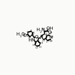 COc1cccc(C(=O)Nc2ccccc2CN(CC[C@H](N)C(=O)O)Cc2ccncc2)c1